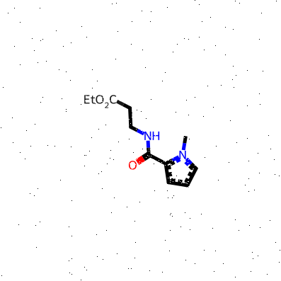 CCOC(=O)CCNC(=O)c1cccn1C